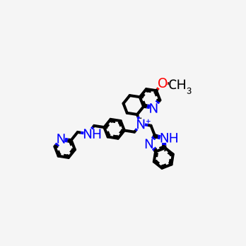 COc1cnc2c(c1)CCCC2[N+](Cc1ccc(CNCc2ccccn2)cc1)Cc1nc2ccccc2[nH]1